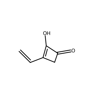 C=CC1=C(O)C(=O)C1